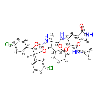 CC(C)(c1cccc(Cl)c1)C(OC(=O)N[C@](C)(CC1CCCCC1)C(=O)N[C@@H](C[C@@H]1CCNC1=O)C(=O)C(=O)NC1CC1)c1ccc(Cl)cc1